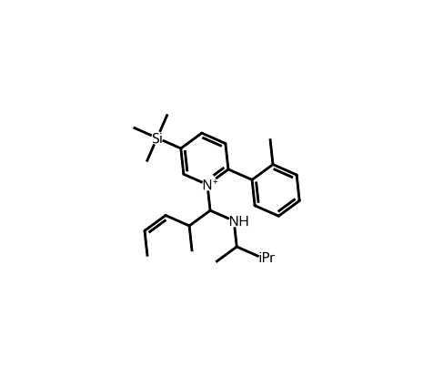 C/C=C\C(C)C(NC(C)C(C)C)[n+]1cc([Si](C)(C)C)ccc1-c1ccccc1C